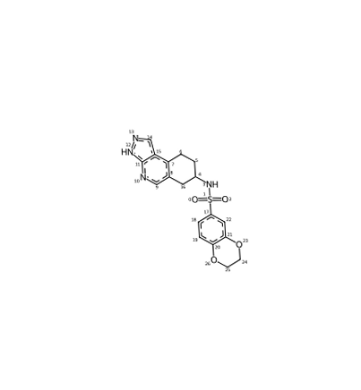 O=S(=O)(NC1CCc2c(cnc3[nH]ncc23)C1)c1ccc2c(c1)OCCO2